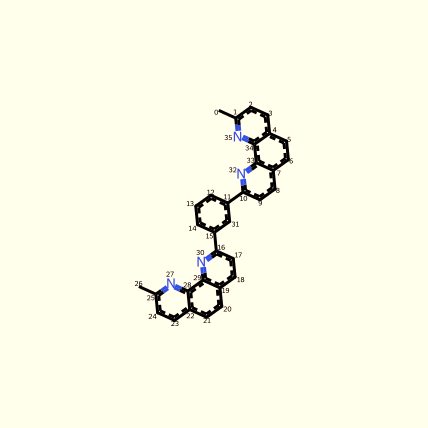 Cc1ccc2ccc3ccc(-c4cccc(-c5ccc6ccc7ccc(C)nc7c6n5)c4)nc3c2n1